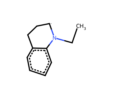 CCN1[CH]CCc2ccccc21